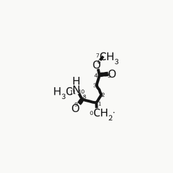 [CH2]C(CCC(=O)OC)C(=O)NC